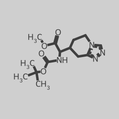 COC(=O)C(NC(=O)OC(C)(C)C)C1CCn2cnnc2C1